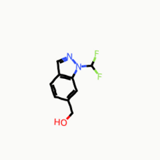 OCc1ccc2cnn(C(F)F)c2c1